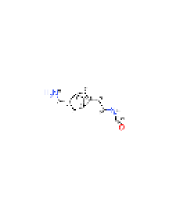 NCC1CC2CC1CC2CCN=C=O